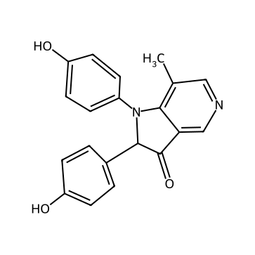 Cc1cncc2c1N(c1ccc(O)cc1)C(c1ccc(O)cc1)C2=O